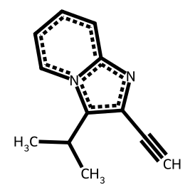 C#Cc1nc2ccccn2c1C(C)C